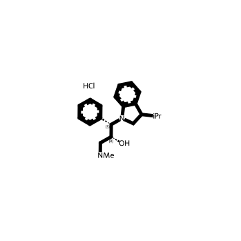 CNC[C@@H](O)[C@H](c1ccccc1)N1CC(C(C)C)c2ccccc21.Cl